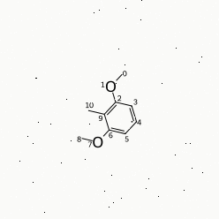 COc1c[c]cc(OC)c1C